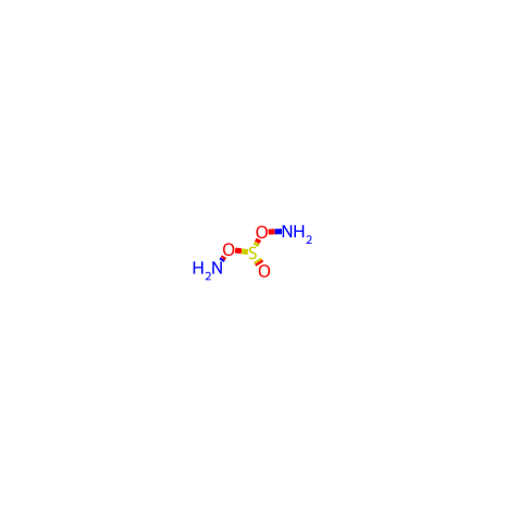 NOS(=O)ON